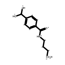 CCCC(O)c1ccc(C(=O)NCCCC(=O)O)cc1